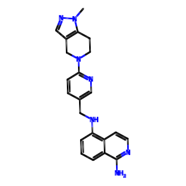 Cn1ncc2c1CCN(c1ccc(CNc3cccc4c(N)nccc34)cn1)C2